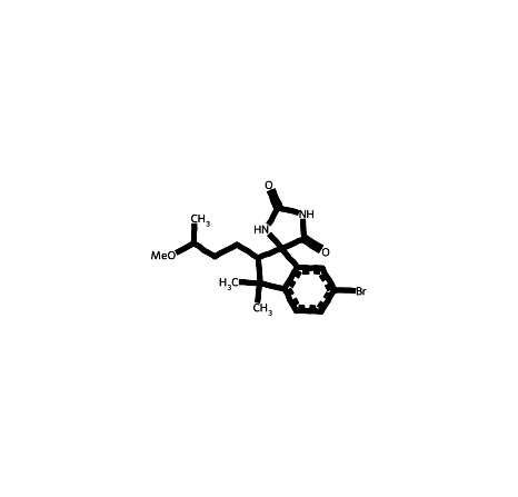 COC(C)CCC1C(C)(C)c2ccc(Br)cc2C12NC(=O)NC2=O